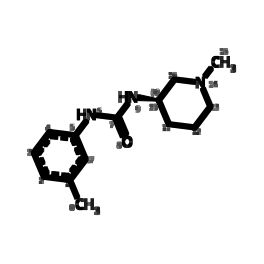 Cc1cccc(NC(=O)N[C@@H]2CCCN(C)C2)c1